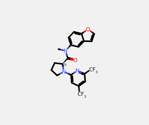 CN(C(=O)[C@@H]1CCCN1c1cc(C(F)(F)F)cc(C(F)(F)F)n1)c1ccc2occc2c1